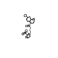 O=[N+]([O-])c1nccn1CCCNc1ccnc2cc(Cl)ccc12